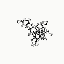 Cc1c(Cl)cccc1S(=O)(=O)NC1CCCC1N1CCC(Cc2ccc(Cl)cc2)CC1